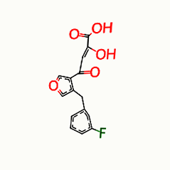 O=C(O)C(O)=CC(=O)c1cocc1Cc1cccc(F)c1